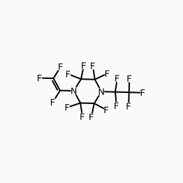 FC(F)=C(F)N1C(F)(F)C(F)(F)N(C(F)(F)C(F)(F)F)C(F)(F)C1(F)F